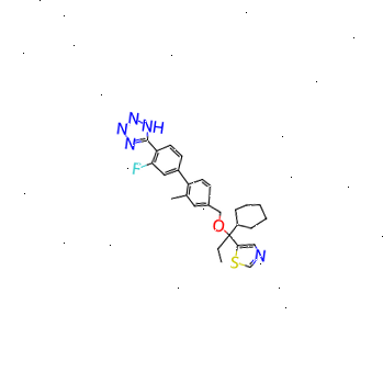 CCC(OCc1ccc(-c2ccc(-c3nnn[nH]3)c(F)c2)c(C)c1)(c1cncs1)C1CCCCC1